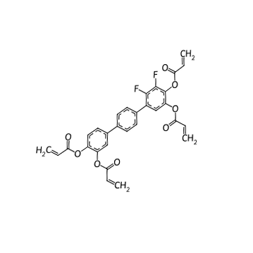 C=CC(=O)Oc1ccc(-c2ccc(-c3cc(OC(=O)C=C)c(OC(=O)C=C)c(F)c3F)cc2)cc1OC(=O)C=C